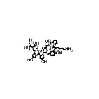 C[C@@H](O)[C@H](NC(=O)[C@@H]1C[C@@H](O)CN1C(=O)[C@@H]1C[C@@H](O)CN1C(=O)[C@H](Cc1ccc(O)cc1)NC(=O)[C@H](CO)NC(=O)[C@@H]1CCCN1C(=O)[C@@H](N)CCCCN)C(=O)O